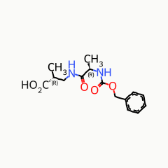 C[C@H](CNC(=O)[C@@H](C)NC(=O)OCc1ccccc1)C(=O)O